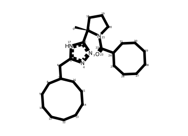 C[C@@]1(c2nnc(CC3CCCCCCCCC3)[nH]2)CCCN1C(=O)C1CCCCCCC1